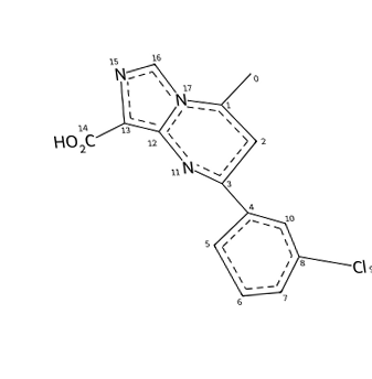 Cc1cc(-c2cccc(Cl)c2)nc2c(C(=O)O)ncn12